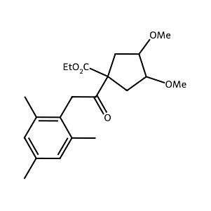 CCOC(=O)C1(C(=O)Cc2c(C)cc(C)cc2C)CC(OC)C(OC)C1